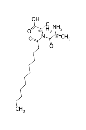 CCCCCCCCCCCC(=O)N(C(=O)[C@H](C)N)[C@@H](C)C(=O)O